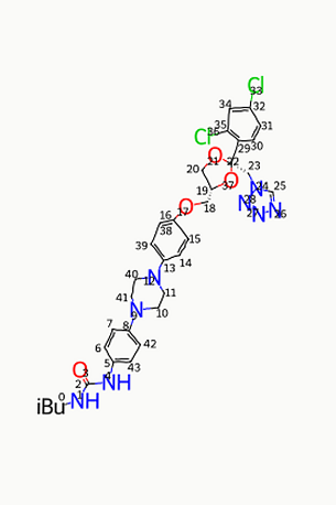 CCC(C)NC(=O)Nc1ccc(N2CCN(c3ccc(OC[C@@H]4CO[C@@](Cn5cnnn5)(c5ccc(Cl)cc5Cl)O4)cc3)CC2)cc1